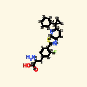 NC(Cc1ccc(-c2nc3ccc(C4(c5ccccc5)CC4)nc3s2)c(F)c1)C(=O)O